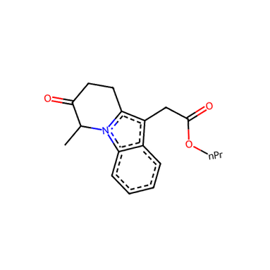 CCCOC(=O)Cc1c2n(c3ccccc13)C(C)C(=O)CC2